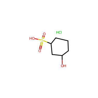 Cl.O=S(=O)(O)C1CCCC(O)C1